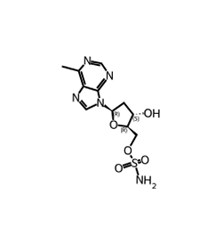 Cc1ncnc2c1ncn2[C@H]1C[C@H](O)[C@@H](COS(N)(=O)=O)O1